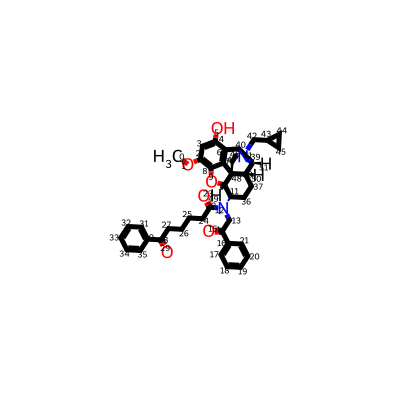 COc1cc(O)c2c3c1O[C@H]1[C@@H](N(CC(=O)c4ccccc4)C(=O)CCCCC(=O)c4ccccc4)CC[C@H]4[C@@H](C2)N(CC2CC2)CC[C@@]341